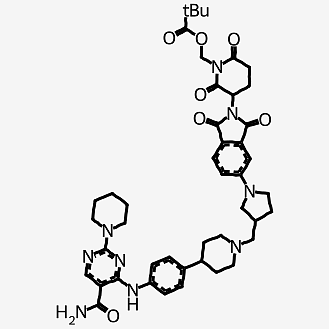 CC(C)(C)C(=O)OCN1C(=O)CCC(N2C(=O)c3ccc(N4CCC(CN5CCC(c6ccc(Nc7nc(N8CCCCC8)ncc7C(N)=O)cc6)CC5)C4)cc3C2=O)C1=O